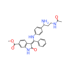 COC(=O)c1ccc2c(c1)NC(=O)C2=C(Nc1ccc(C(N)CCNC(C)=O)cc1)c1ccccc1